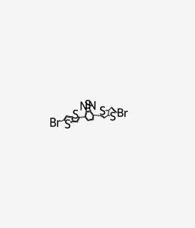 BrC1=CC2SC(c3ccc(-c4cc5sc(Br)cc5s4)c4nsnc34)=CC2S1